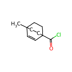 CC12C=CC(C(=O)Cl)(CC1)CC2